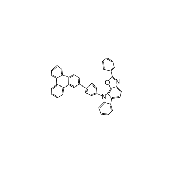 c1ccc(-c2nc3ccc4c5ccccc5n(-c5ccc(-c6ccc7c8ccccc8c8ccccc8c7c6)cc5)c4c3o2)cc1